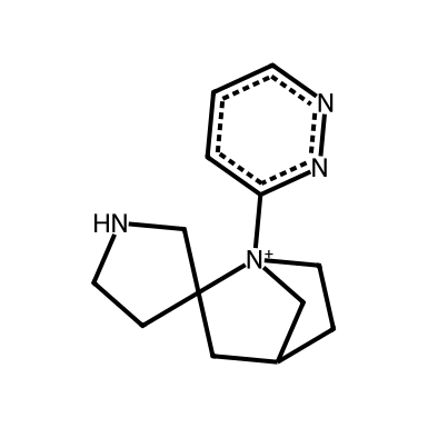 c1cnnc([N+]23CCC(CC24CCNC4)C3)c1